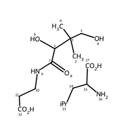 CC(C)(CO)C(O)C(=O)NCCC(=O)O.CC(C)CC(N)C(=O)O